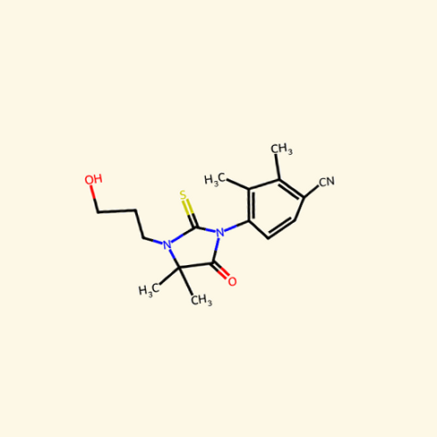 Cc1c(C#N)ccc(N2C(=O)C(C)(C)N(CCCO)C2=S)c1C